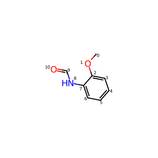 COc1ccccc1N[C]=O